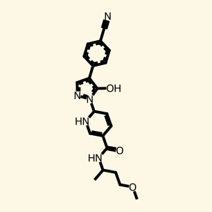 COCCC(C)NC(=O)C1=CNC(n2ncc(-c3ccc(C#N)cc3)c2O)C=C1